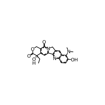 CC[C@@]1(O)C(=O)OCc2c1cc1n(c2=O)Cc2cc3c(N(C)C)c(O)ccc3nc2-1